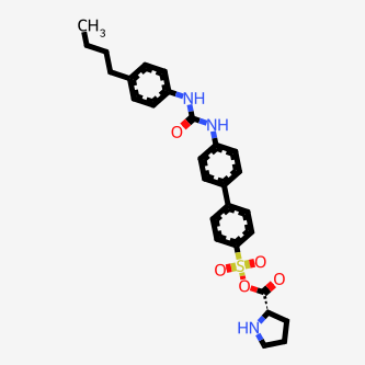 CCCCc1ccc(NC(=O)Nc2ccc(-c3ccc(S(=O)(=O)OC(=O)[C@@H]4CCCN4)cc3)cc2)cc1